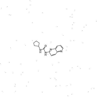 O=C(Nc1ccc2ncccc2n1)NC1CCCC1